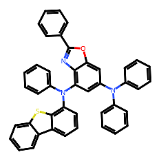 c1ccc(-c2nc3c(N(c4ccccc4)c4cccc5c4sc4ccccc45)cc(N(c4ccccc4)c4ccccc4)cc3o2)cc1